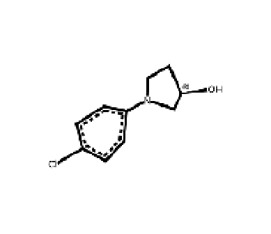 O[C@@H]1CCN(c2ccc(Cl)cc2)C1